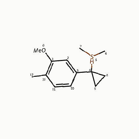 COc1cc(C2([SH](C)C)CC2)ccc1C